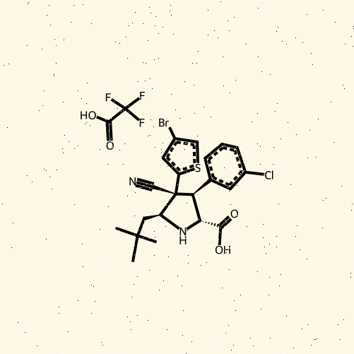 CC(C)(C)C[C@@H]1N[C@@H](C(=O)O)[C@H](c2cccc(Cl)c2)[C@@]1(C#N)c1cc(Br)cs1.O=C(O)C(F)(F)F